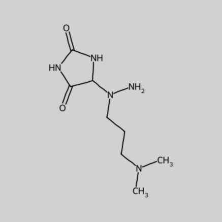 CN(C)CCCN(N)C1NC(=O)NC1=O